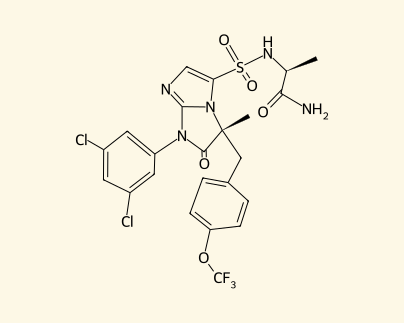 C[C@H](NS(=O)(=O)c1cnc2n1[C@](C)(Cc1ccc(OC(F)(F)F)cc1)C(=O)N2c1cc(Cl)cc(Cl)c1)C(N)=O